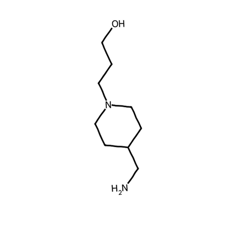 NCC1CCN(CCCO)CC1